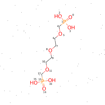 O=P(O)(O)COCCOCCOCP(=O)(O)O